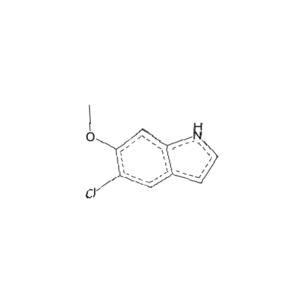 COc1cc2[nH]ccc2cc1Cl